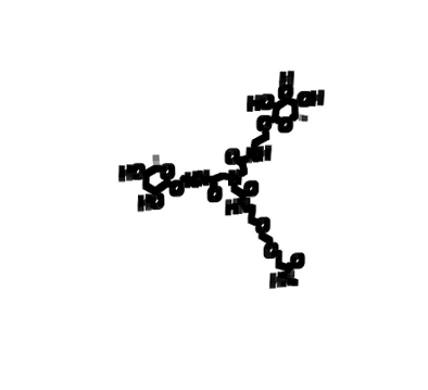 CNC(=O)CCOCCOCCNC(=O)CN(CC(=O)NCCO[C@@H]1O[C@@H](C)[C@@H](O)[C@@H](O)[C@@H]1O)CC(=O)NCCO[C@@H]1O[C@@H](C)[C@@H](O)C[C@@H]1O